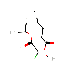 CC(C)OC(=O)CCl.CCCCCC(=O)OC